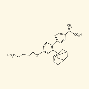 C=C(C(=O)O)c1ccc(-c2ccc(OCCCCC(=O)O)cc2C23CC4CC(CC(C4)C2)C3)cc1